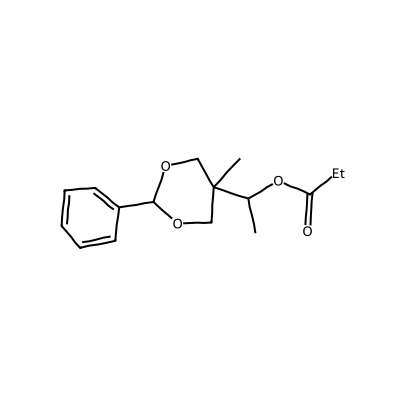 CCC(=O)OC(C)C1(C)COC(c2ccccc2)OC1